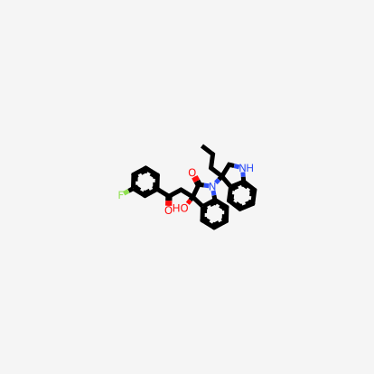 CCCC1(N2C(=O)C(O)(CC(=O)c3cccc(F)c3)c3ccccc32)CNc2ccccc21